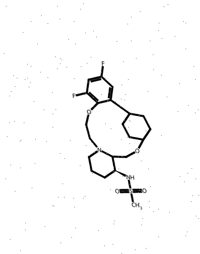 CS(=O)(=O)N[C@H]1CCCN2CCOc3c(F)cc(F)cc3C3CCC(CC3)OCC12